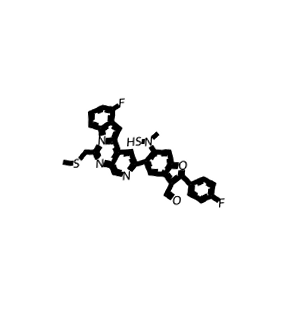 CSCc1nc2cnc(-c3cc4c(C=O)c(-c5ccc(F)cc5)oc4cc3N(C)S)cc2c2cc3c(F)cccc3n12